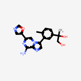 Cc1ccc(C(O)(CO)C(F)(F)F)cc1-c1cnc2c(N)nc(-c3cnco3)cn12